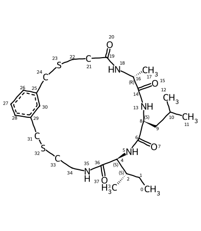 CC[C@H](C)[C@@H]1NC(=O)[C@H](CC(C)C)NC(=O)[C@@H](C)NC(=O)CCSCc2cccc(c2)CSCCNC1=O